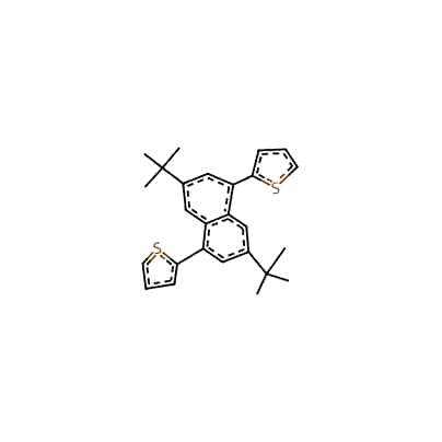 CC(C)(C)c1cc(-c2cccs2)c2cc(C(C)(C)C)cc(-c3cccs3)c2c1